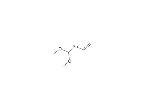 C=[CH][Sn][CH](OC)OC